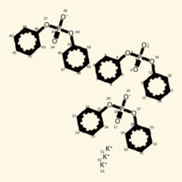 O=P([O-])(Oc1ccccc1)Oc1ccccc1.O=P([O-])(Oc1ccccc1)Oc1ccccc1.O=P([O-])(Oc1ccccc1)Oc1ccccc1.[K+].[K+].[K+]